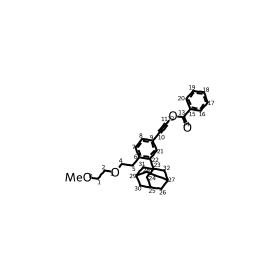 COCCOCCc1ccc(C#COC(=O)c2ccccc2)cc1C12CC3CC(CC(C3)C1)C2